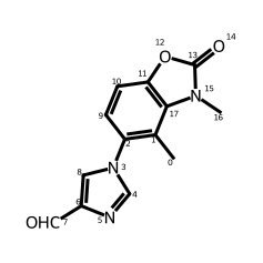 Cc1c(-n2cnc(C=O)c2)ccc2oc(=O)n(C)c12